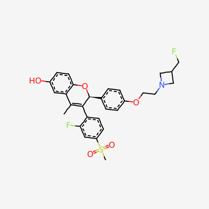 CC1=C(c2ccc(S(C)(=O)=O)cc2F)[C@H](c2ccc(OCCN3CC(CF)C3)cc2)Oc2ccc(O)cc21